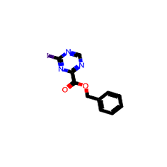 O=C(OCc1ccccc1)c1ncnc(I)n1